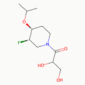 CC(C)O[C@H]1CCN(C(=O)C(O)CO)C[C@H]1F